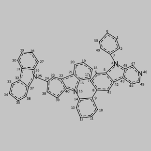 c1ccc(-n2c3ccc(-c4ccccc4-n4c5ccccc5c5cc(-n6c7ccccc7c7ccccc76)ccc54)cc3c3ccncc32)cc1